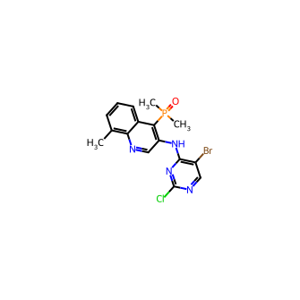 Cc1cccc2c(P(C)(C)=O)c(Nc3nc(Cl)ncc3Br)cnc12